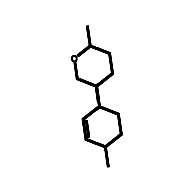 CC1C=CC(C2CCC(C)OC2)CC1